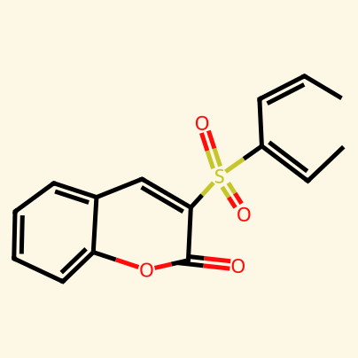 C/C=C\C(=C/C)S(=O)(=O)c1cc2ccccc2oc1=O